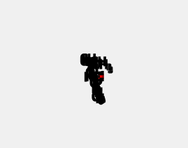 COc1ccc2c(c1)C(CC(=O)Oc1ccc(C(=O)OCCN3CCN(CC(=O)N4CCCC4)CC3)cc1)=C[N+]2(C)C.Cl.Cl